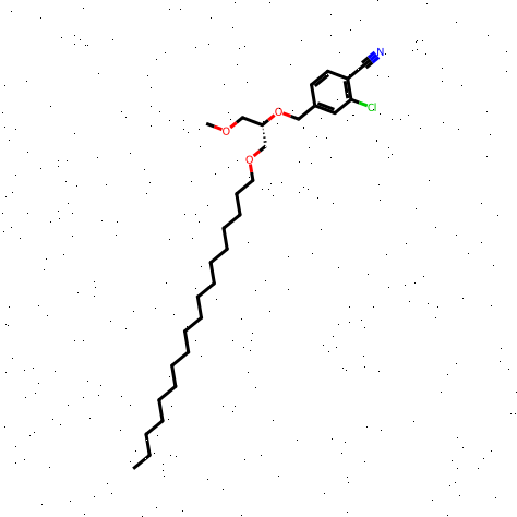 CCCCCCCCCCCCCCCCCCOC[C@H](COC)OCc1ccc(C#N)c(Cl)c1